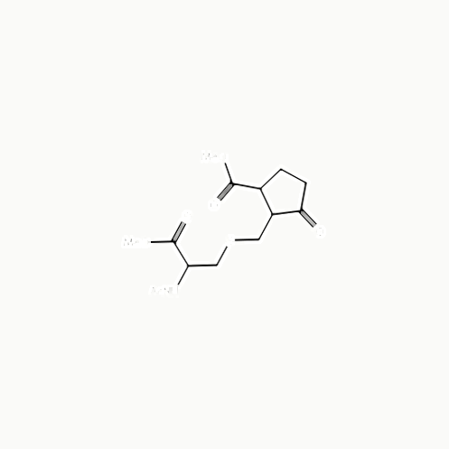 COC(=O)C(CSCC1C(=O)CCC1C(=O)OC)NC(C)=O